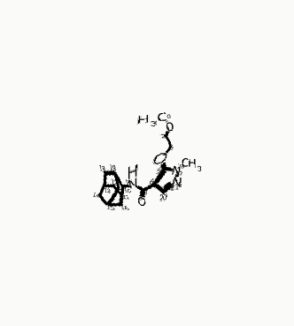 COCCOc1c(C(=O)NC2C3CC4CC(C3)CC2C4)cnn1C